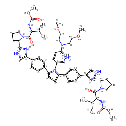 C=C(/C=C\C(=C/N)n1c(-c2ccc(-c3c[nH]c([C@@H]4CCCN4C(=O)[C@@H](NC(=O)OC)C(C)C)n3)cc2)ccc1-c1ccc(-c2c[nH]c([C@@H]3CCCN3C(=O)[C@@H](NC(=O)OC)C(C)C)n2)cc1)N(CCOC)CCOC